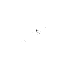 CC(=O)NCCNC(=O)c1cc(Cl)c(O)c(S(=O)(=O)Nc2cc(-c3cc#ccc3)c(F)cc2F)c1